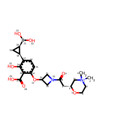 C[N+]1(C)CCO[C@H](CC(=O)N2CC(Oc3ccc([C@H]4C[C@H]4B(O)O)c(O)c3C(=O)O)C2)C1